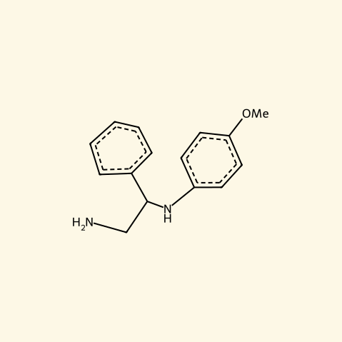 COc1ccc(NC(CN)c2ccccc2)cc1